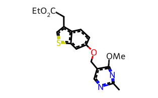 CCOC(=O)Cc1csc2cc(OCc3cnc(C)nc3OC)ccc12